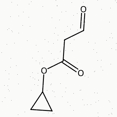 O=CCC(=O)OC1CC1